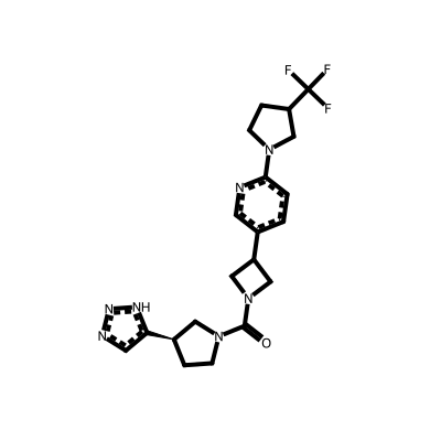 O=C(N1CC(c2ccc(N3CCC(C(F)(F)F)C3)nc2)C1)N1CC[C@@H](c2cnn[nH]2)C1